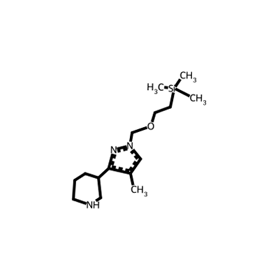 Cc1cn(COCC[Si](C)(C)C)nc1C1CCCNC1